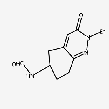 CCn1nc2c(cc1=O)CC(NC=O)CC2